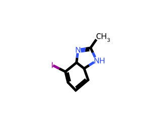 CC1=NC2C(I)=CC=CC2N1